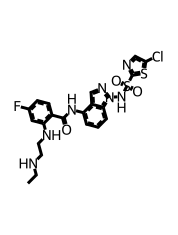 CCNCCNc1cc(F)ccc1C(=O)Nc1cccc2c1cnn2NS(=O)(=O)c1ncc(Cl)s1